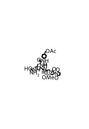 COC[C@@H]1C[C@H](N2C(=O)C=CC2=O)C(=O)N1CC(=O)N[C@H](C(=O)N[C@@H](CCCNC(N)O)C(=O)Nc1ccc(COC(C)=O)cc1)C(C)C